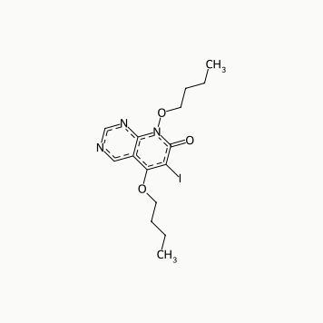 CCCCOc1c(I)c(=O)n(OCCCC)c2ncncc12